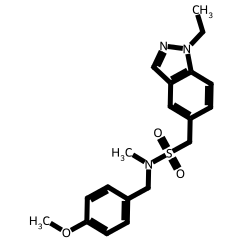 CCn1ncc2cc(CS(=O)(=O)N(C)Cc3ccc(OC)cc3)ccc21